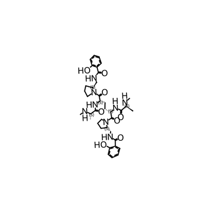 CN[C@@H](C)C(=O)N[C@@H](CC[C@H](NC(=O)[C@H](C)NC)C(=O)N1CCC[C@H]1CNC(=O)c1ccccc1O)C(=O)N1CCC[C@H]1CNC(=O)c1ccccc1O